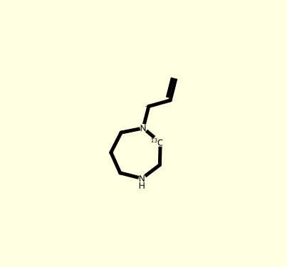 C=C[CH]N1CCCNC[13CH2]1